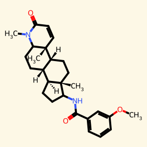 COc1cccc(C(=O)NC2CC[C@H]3[C@@H]4CCC5N(C)C(=O)C=C[C@]5(C)[C@@H]4CC[C@]23C)c1